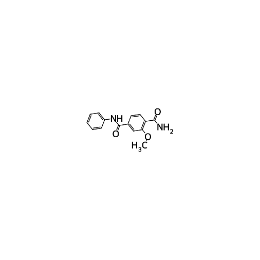 COc1cc(C(=O)Nc2ccccc2)ccc1C(N)=O